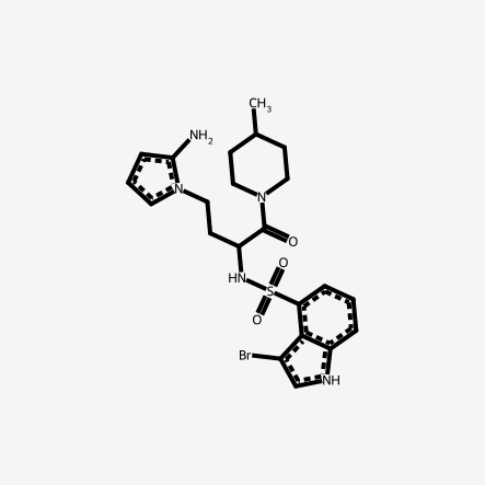 CC1CCN(C(=O)C(CCn2cccc2N)NS(=O)(=O)c2cccc3[nH]cc(Br)c23)CC1